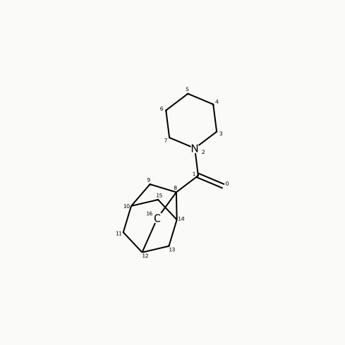 C=C(N1CCCCC1)C12CC3CC(CC1C3)C2